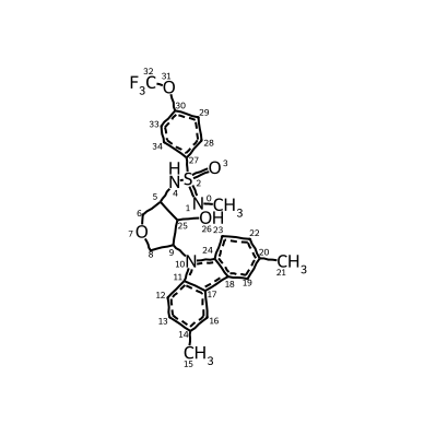 CN=S(=O)(NC1COCC(n2c3ccc(C)cc3c3cc(C)ccc32)C1O)c1ccc(OC(F)(F)F)cc1